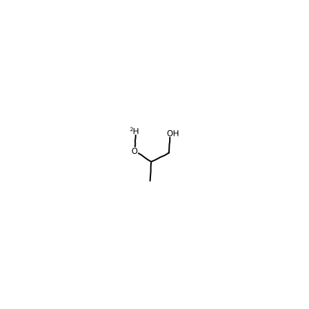 [2H]OC(C)CO